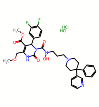 COCC1=C(C(=O)OC)C(c2ccc(F)c(F)c2)N(C(=O)N(O)CCCN2CCC(c3ccccc3)(c3cccnc3)CC2)C(=O)N1.Cl.Cl